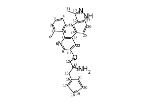 Cc1ccccc1-c1ncc(OC[C@@H](N)Cc2ccccc2)cc1-c1ccc2[nH]nc(C)c2c1